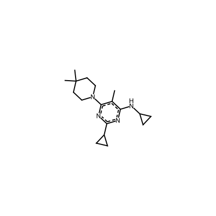 Cc1c(NC2CC2)nc(C2CC2)nc1N1CCC(C)(C)CC1